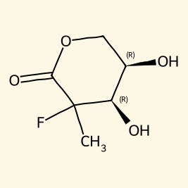 CC1(F)C(=O)OC[C@@H](O)[C@H]1O